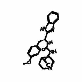 COc1ccc(C[C@@H](NC(=O)NC2CN3CCC2CC3)c2nc3ccccc3[nH]2)cc1